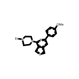 CCN1CCN(c2nc(-c3ccc(OC)cc3)cc3cscc23)CC1